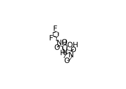 O=C(NCc1ccc(F)cc1F)c1cn2c(c(O)c1=O)C(=O)N1CCOC[C@H]2C1